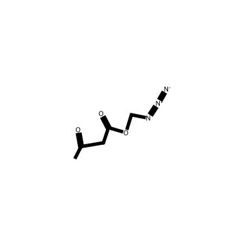 CC(=O)CC(=O)OCN=[N+]=[N-]